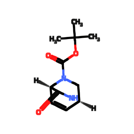 CC(C)(C)OC(=O)N1C[C@H]2C=C[C@@H]1C(=O)N2